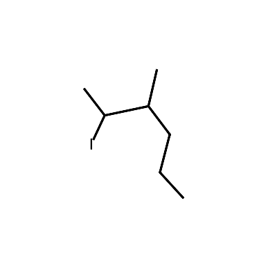 CCCC(C)C(C)I